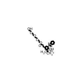 CC(C)(C)c1cc(CCC(=O)OCCOCCOCCOCCO)cc(-n2nc3ccccc3n2)c1O